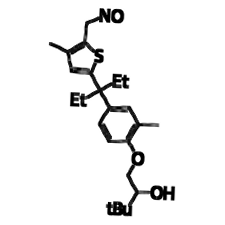 CCC(CC)(c1ccc(OCC(O)C(C)(C)C)c(C)c1)c1cc(C)c(CN=O)s1